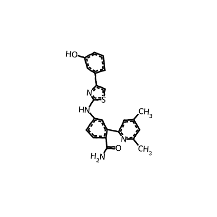 Cc1cc(C)nc(-c2cc(Nc3nc(-c4cccc(O)c4)cs3)ccc2C(N)=O)c1